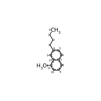 CCCCc1ccc2cccc(C)c2c1